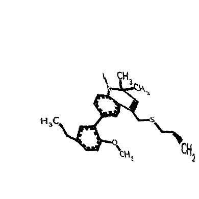 C=CCSCC1=CC(C)(C)N(I)c2ccc(-c3cc(CC)ccc3OC)cc21